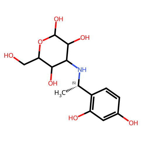 C[C@H](NC1C(O)C(O)OC(CO)C1O)c1ccc(O)cc1O